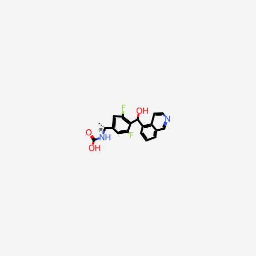 C[C@@H](NC(=O)O)c1cc(F)c(C(O)c2cccc3cnccc23)c(F)c1